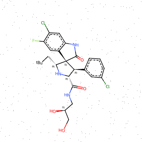 CC(C)(C)C[C@H]1N[C@@H](C(=O)NC[C@H](O)CO)[C@H](c2cccc(Cl)c2)[C@@]12C(=O)Nc1cc(Cl)c(F)cc12